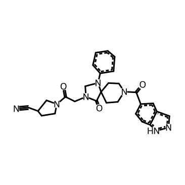 N#CC1CCN(C(=O)CN2CN(c3ccccc3)C3(CCN(C(=O)c4ccc5[nH]ncc5c4)CC3)C2=O)C1